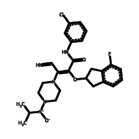 CC(C)[S+]([O-])N1CCN(/C(C=N)=C(\OC2Cc3cccc(F)c3C2)C(=O)Nc2cccc(Cl)c2)CC1